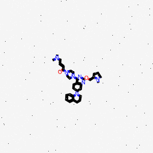 CN(C)CC=CC(=O)N1CCN(c2nc(OCC3CCCN3C)nc3c2CCC(N2CCCc4ccccc42)C3)CC1